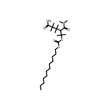 CCCCCCCCCCCCSC(=S)SC(C)(C)C(C(=O)N(C)C)C(C)(C)C(C)(C)C(=O)O